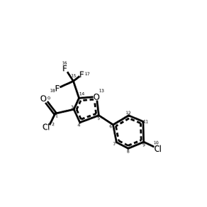 O=C(Cl)c1cc(-c2ccc(Cl)cc2)oc1C(F)(F)F